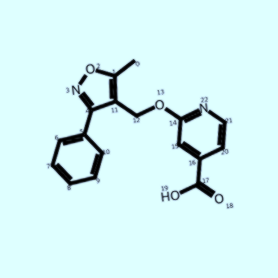 Cc1onc(-c2ccccc2)c1COc1cc(C(=O)O)ccn1